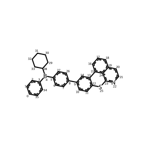 c1ccc(B(c2ccc(-c3ccc4c(c3)-c3cccc5ccnc(c35)S4)cc2)C2CCCCC2)cc1